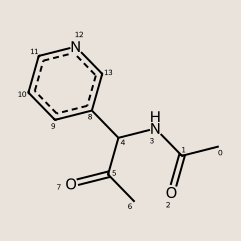 CC(=O)NC(C(C)=O)c1cccnc1